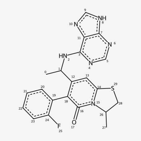 CC(Nc1ncnc2[nH]cnc12)c1cc2n(c(=O)c1-c1ccccc1F)C(C)CS2